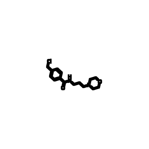 O=C(NCCCN1CCOCC1)c1ccc(CCl)cc1